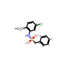 O=C(O)c1ccc(Cl)cc1NS(=O)(=O)Cc1ccccc1